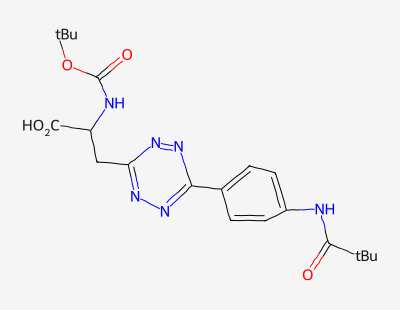 CC(C)(C)OC(=O)NC(Cc1nnc(-c2ccc(NC(=O)C(C)(C)C)cc2)nn1)C(=O)O